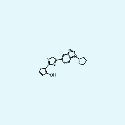 OC1=C(C2=NCC(c3ccc4c(c3)ncn4C3CCCC3)=N2)CC=C1